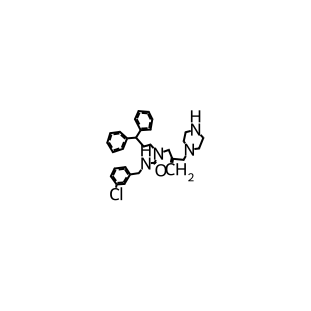 C=C(CN1CCNCC1)CN(CCC(c1ccccc1)c1ccccc1)C(=O)NCc1cccc(Cl)c1